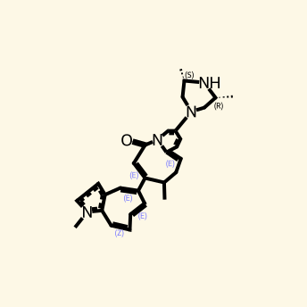 CC1C/C=C2\C=CC(N3C[C@@H](C)N[C@@H](C)C3)=CN2C(=O)/C=C1/C1=C/c2ccn(C)c2/C=C\C=C\1